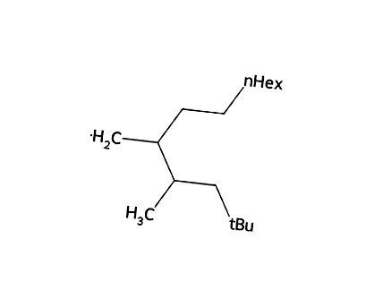 [CH2]C(CCCCCCCC)C(C)CC(C)(C)C